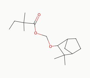 CCC(C)(C)C(=O)OCOC1C2CCC(C2)C1(C)C